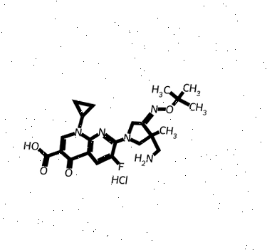 CC(C)(C)ON=C1CN(c2nc3c(cc2F)c(=O)c(C(=O)O)cn3C2CC2)CC1(C)CN.Cl